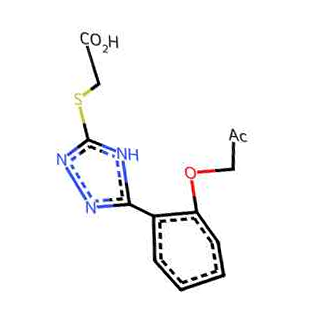 CC(=O)COc1ccccc1-c1nnc(SCC(=O)O)[nH]1